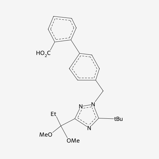 CCC(OC)(OC)c1nc(C(C)(C)C)n(Cc2ccc(-c3ccccc3C(=O)O)cc2)n1